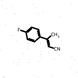 C/C(=C\C#N)c1ccc(F)cc1